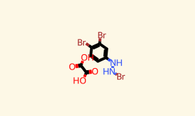 BrNNc1ccc(Br)c(Br)c1.O=C(O)C(=O)O